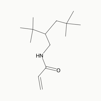 C=CC(=O)NCC(CC(C)(C)C)C(C)(C)C